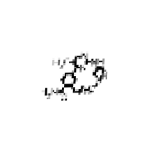 Cc1cnc(Nc2cnn(CC#N)c2)nc1-c1ccc(C(N)=O)c(CC#N)c1